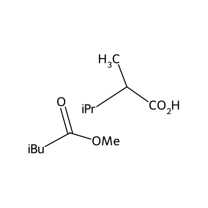 CC(C)C(C)C(=O)O.CCC(C)C(=O)OC